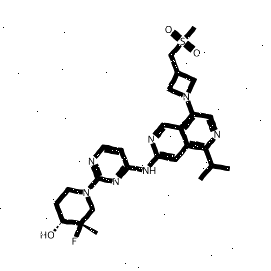 CC(C)c1ncc(N2CC(CS(C)(=O)=O)C2)c2cnc(Nc3ccnc(N4CC[C@@H](O)[C@@](C)(F)C4)n3)cc12